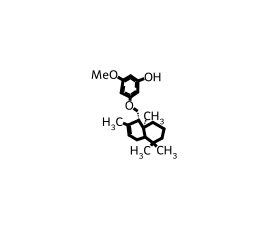 COc1cc(O)cc(OC[C@H]2C(C)=CCC3C(C)(C)CCC[C@@]32C)c1